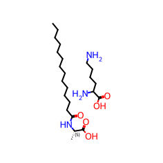 CCCCCCCCCCCCCC(=O)N[C@@H](C)C(=O)O.NCCCCC(N)C(=O)O